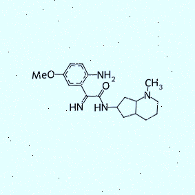 COc1ccc(N)c(C(=N)C(=O)NC2CC3CCCN(C)C3C2)c1